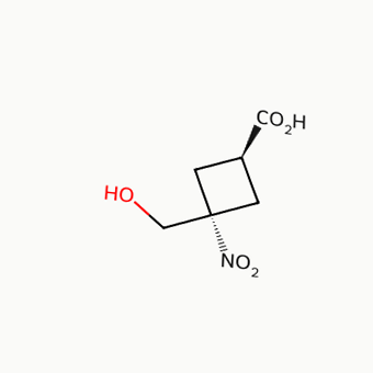 O=C(O)[C@H]1C[C@](CO)([N+](=O)[O-])C1